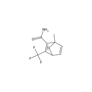 CC12C=CC(O1)C(C(F)(F)F)=C2C(N)=O